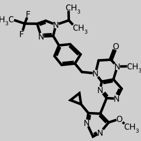 COc1ncnc(C2CC2)c1-c1ncc2c(n1)N(Cc1ccc(-c3nc(C(C)(F)F)cn3C(C)C)cc1)CC(=O)N2C